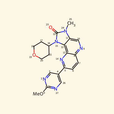 COc1ncc(-c2ccc3ncc4c(c3n2)n(C2CCOCC2)c(=O)n4C)cn1